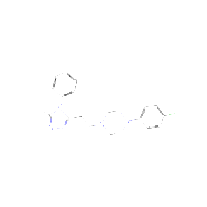 Cc1nnc(CCN2CCN(c3ccc(Cl)cc3)CC2)n1-c1ccccc1